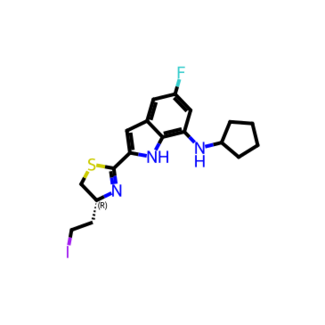 Fc1cc(NC2CCCC2)c2[nH]c(C3=N[C@H](CCI)CS3)cc2c1